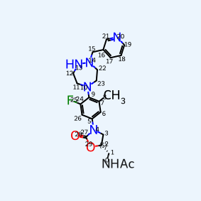 CC(=O)NC[C@H]1CN(c2cc(C)c(N3CCNN(Cc4cccnc4)CC3)c(F)c2)C(=O)O1